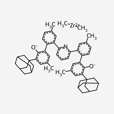 Cc1ccc(-c2cc(C)cc(C34CC5CC(CC(C5)C3)C4)c2[O-])c(-c2cccc(-c3cc(C)ccc3-c3cc(C)cc(C45CC6CC(CC(C6)C4)C5)c3[O-])n2)c1.[CH3][Zr+2][CH3]